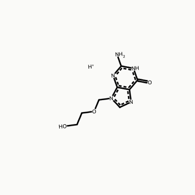 Nc1nc2c(ncn2COCCO)c(=O)[nH]1.[H+]